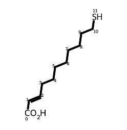 O=C(O)C=CCCCCCCCCS